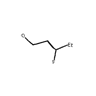 CCC(F)CC[O]